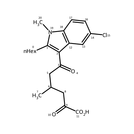 CCCCCCc1c(C(=O)CC(C)CC(=O)C(=O)O)c2cc(Cl)ccc2n1C